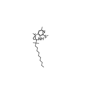 CCCCCCCCCCC(C)(C)C(=O)Nc1c(SC)cc(C)nc1SC